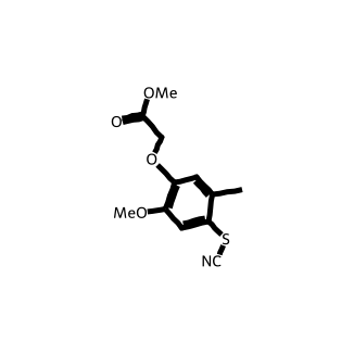 COC(=O)COc1cc(C)c(SC#N)cc1OC